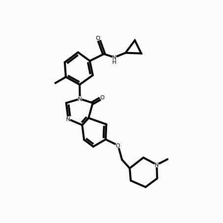 Cc1ccc(C(=O)NC2CC2)cc1-n1cnc2ccc(OCC3CCCN(C)C3)cc2c1=O